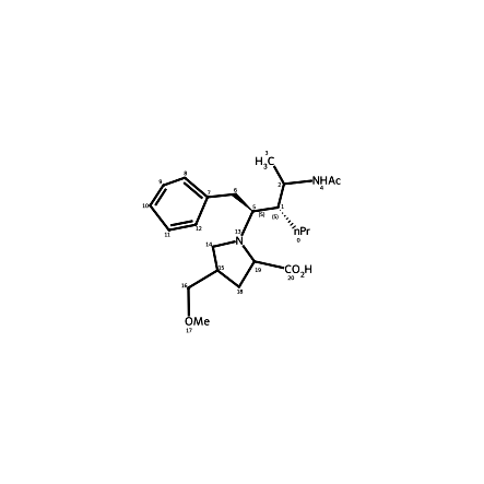 CCC[C@@H](C(C)NC(C)=O)[C@H](Cc1ccccc1)N1CC(COC)CC1C(=O)O